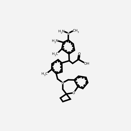 Cc1ccc(C(CC(=O)O)c2ccc(N(C)N)c(N)c2C)cc1CN1Cc2ccccc2OC2(CCC2)C1